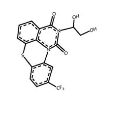 O=c1c2cccc3c2n(c(=O)n1C(O)CO)-c1cc(C(F)(F)F)ccc1S3